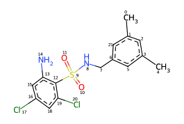 Cc1cc(C)cc(CNS(=O)(=O)c2c(N)cc(Cl)cc2Cl)c1